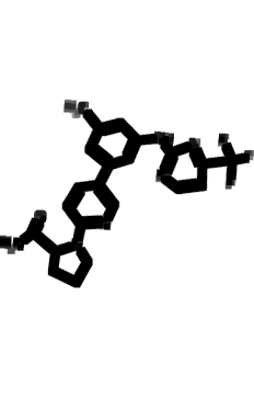 Cc1cc(Nc2nccc(C(F)(F)F)n2)cc(-c2ccc(N3CCCC3C(N)=O)nc2)c1